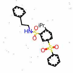 CC(C)c1ccc(S(=O)(=O)c2ccccc2)cc1S(=O)(=O)NCCc1ccccc1